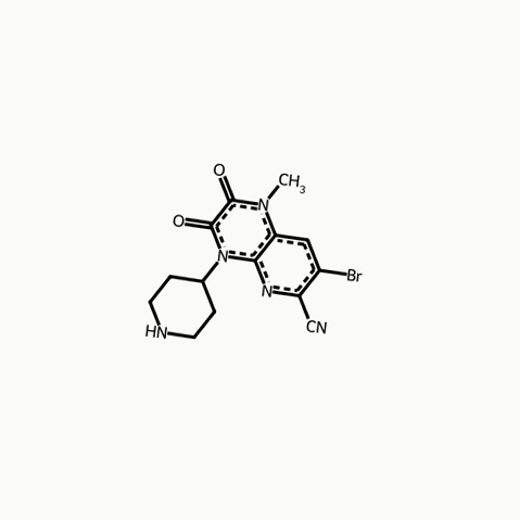 Cn1c(=O)c(=O)n(C2CCNCC2)c2nc(C#N)c(Br)cc21